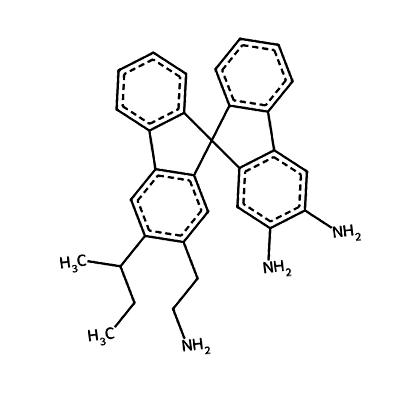 CCC(C)c1cc2c(cc1CCN)C1(c3ccccc3-c3cc(N)c(N)cc31)c1ccccc1-2